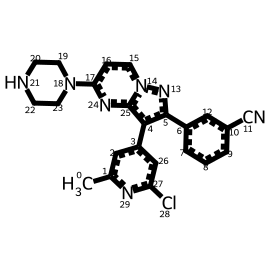 Cc1cc(-c2c(-c3cccc(C#N)c3)nn3ccc(N4CCNCC4)nc23)cc(Cl)n1